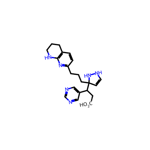 O=C(O)CC(c1cncnc1)C1(CCCc2ccc3c(n2)NCCC3)C=CNN1